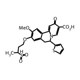 COc1cc2c(cc1OCCC(C)[SH](=O)=O)CC(c1cccs1)n1cc(C(=O)O)c(=O)cc1-2